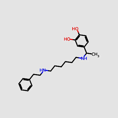 CC(NCCCCCCNCCc1ccccc1)c1ccc(O)c(O)c1